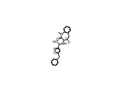 CN1C(=O)C(NC(O)c2cc(Cc3ccccc3)on2)[C@H](F)Cc2ccccc21